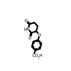 O=C1CCC(Oc2ccc(C(=O)O)cc2)C(=O)N1